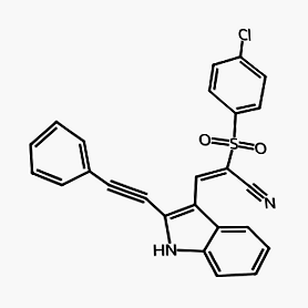 N#C/C(=C\c1c(C#Cc2ccccc2)[nH]c2ccccc12)S(=O)(=O)c1ccc(Cl)cc1